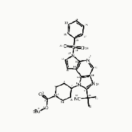 CC(C)(C)OC(=O)N1CCC(n2c(C(C)(C)C#N)nc3cnc4c(ccn4S(=O)(=O)c4ccccc4)c32)CC1